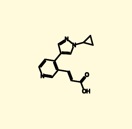 O=C(O)C=Cc1cnccc1-c1cnn(C2CC2)c1